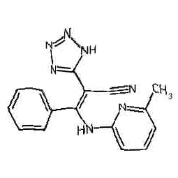 Cc1cccc(NC(=C(C#N)c2nnn[nH]2)c2ccccc2)n1